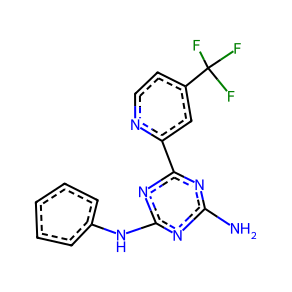 Nc1nc(Nc2ccccc2)nc(-c2cc(C(F)(F)F)ccn2)n1